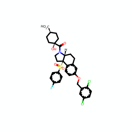 O=C(O)[C@H]1CC[C@](O)(C(=O)N2CC[C@@]3(S(=O)(=O)c4ccc(F)cc4)c4ccc(OCc5cc(Cl)ccc5Cl)cc4CC[C@@H]23)CC1